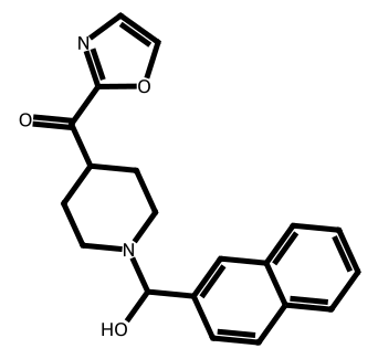 O=C(c1ncco1)C1CCN(C(O)c2ccc3ccccc3c2)CC1